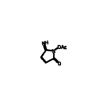 CC(=O)ON1C(=N)CCC1=O